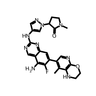 Cc1c(-c2cc3nc(Nc4cnn(C5CCN(C)C5=O)c4)ncc3c(N)c2F)cnc2c1NCCO2